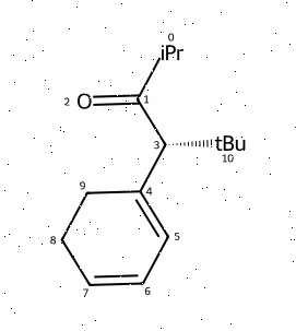 CC(C)C(=O)[C@@H](C1=CC=CCC1)C(C)(C)C